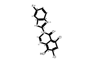 O=c1c2c(Cl)cc(Cl)c(O)c2ncn1-c1nc2ccc(F)cc2s1